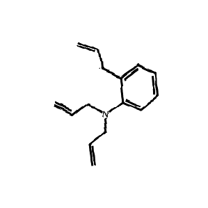 C=C[CH]c1ccccc1N(CC=C)CC=C